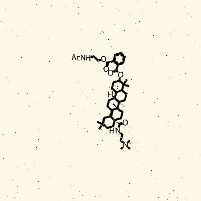 CC(=O)NCCOC(=O)c1ccccc1C(=O)OC1CC[C@@]2(C)C(CC[C@]3(C)[C@@H]2CCC2=C4CC(C)(C)CC[C@]4(C(=O)NCC[N+](C)(C)C)CC[C@]23C)C1(C)C